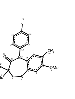 CCCCC1(CC)CSc2cc(OC)c(C)cc2N(c2ccc(F)cc2)C1=O